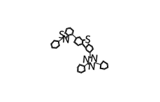 c1ccc(-c2nc(-c3ccccc3)nc(-c3ccc4sc5cc(-c6cccc7sc(-c8ccccc8)nc67)ccc5c4c3)n2)cc1